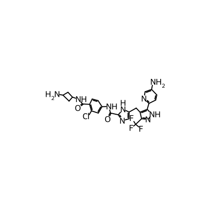 Nc1ccc(-c2[nH]nc(C(F)(F)F)c2Cc2cnc(C(=O)Nc3ccc(C(=O)NC4CC(N)C4)c(Cl)c3)[nH]2)nc1